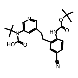 CC(C)(C)OC(=O)Nc1ccc(C#N)cc1CCc1cncc(N(C(=O)O)C(C)(C)C)c1